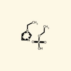 CCOS(=O)(=O)O.CCn1ccnc1